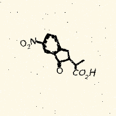 CC(C(=O)O)C1Cc2ccc([N+](=O)[O-])cc2C1=O